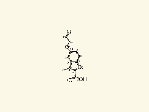 Cc1c(C(=O)O)oc2ccc(OCC=O)cc12